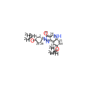 [2H]C([2H])([2H])Oc1ccc(-n2nc3c4cc(OC([2H])([2H])[2H])ccc4[nH]cc-3c2=O)cc1